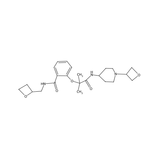 CC(C)(Oc1ccccc1C(=O)NCC1CCO1)C(=O)NC1CCN(C2COC2)CC1